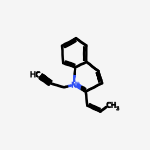 C#CC[n+]1c(/C=C\C)ccc2ccccc21